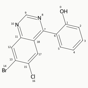 Oc1ccccc1-c1ncnc2cc(Br)c(Cl)cc12